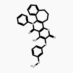 COc1cccc(Sc2c(O)c3c(=O)n(-c4ccccc4)c4c(c3oc2=O)CCCc2ccccc2-4)c1